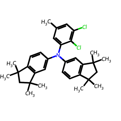 Cc1cc(Cl)c(Cl)c(N(c2ccc3c(c2)C(C)(C)CC3(C)C)c2ccc3c(c2)C(C)(C)CC3(C)C)c1